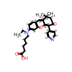 CCN(CCCCCC(=O)O)c1ccc2c(c1)OC1=C(c3ccncc3)C(=O)CC(C)(C)C1=C2